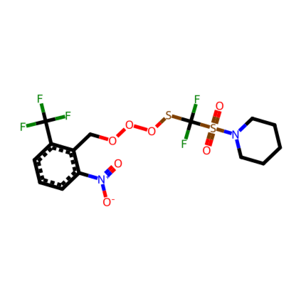 O=[N+]([O-])c1cccc(C(F)(F)F)c1COOOSC(F)(F)S(=O)(=O)N1CCCCC1